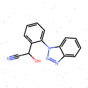 N#CC(O)c1ccccc1-n1nnc2ccccc21